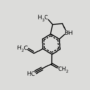 C#CC(=C)c1cc2c(cc1C=C)C(C)CB2